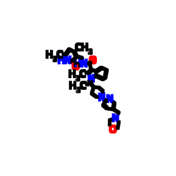 Cc1cc(C)c(CNC(=O)c2c(C)n([C@H](C)C3CCN(c4ccc(CN5CCOCC5)cn4)CC3)c3ccccc23)c(=O)[nH]1